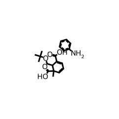 CC(C)(C)OCC1C(C(=O)O)=CC=CC1(C)C(=O)O.Nc1ccccc1